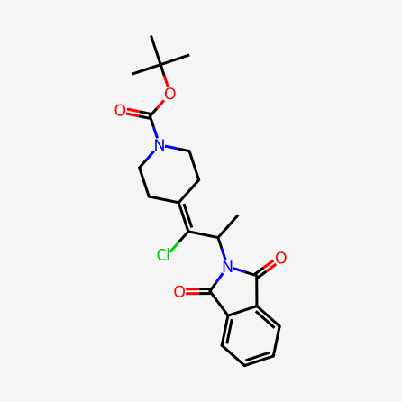 CC(C(Cl)=C1CCN(C(=O)OC(C)(C)C)CC1)N1C(=O)c2ccccc2C1=O